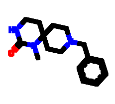 CN1C(=O)NCCC12CCN(Cc1ccccc1)CC2